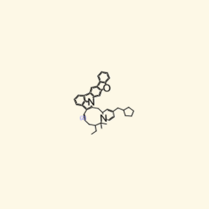 CCC1C/C=C\c2c(n3c4cc5oc6ccccc6c5cc4c4cccc2c43)CC2C=C(CC3CCCC3)C=CN2C1(C)C